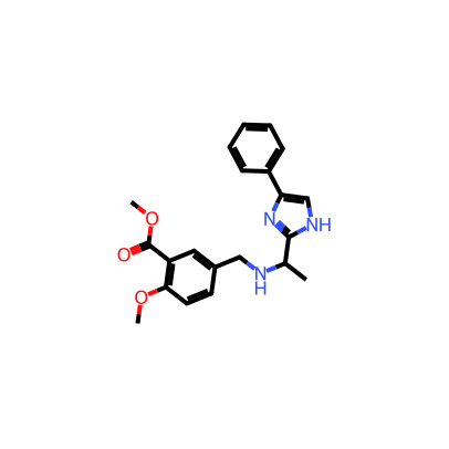 COC(=O)c1cc(CNC(C)c2nc(-c3ccccc3)c[nH]2)ccc1OC